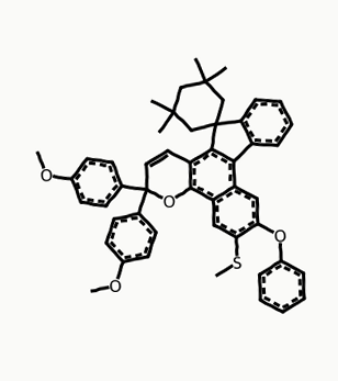 COc1ccc(C2(c3ccc(OC)cc3)C=Cc3c4c(c5cc(Oc6ccccc6)c(SC)cc5c3O2)-c2ccccc2C42CC(C)(C)CC(C)(C)C2)cc1